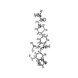 CCc1cc(-c2[nH]c3ccc(C4CCN(CC(=O)NC)CC4)cc3c2C(C)C)cn2ncnc12